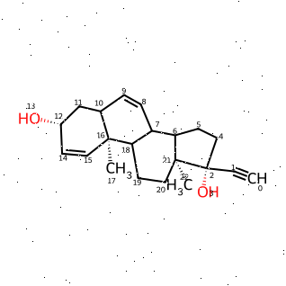 C#C[C@]1(O)CCC2C3C=CC4C[C@@H](O)C=C[C@]4(C)C3CC[C@@]21C